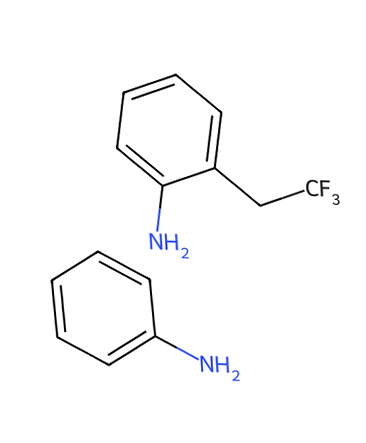 Nc1ccccc1.Nc1ccccc1CC(F)(F)F